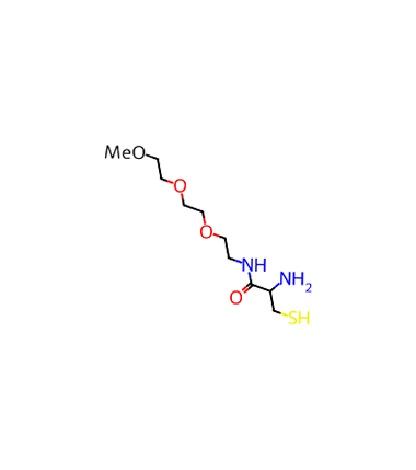 COCCOCCOCCNC(=O)C(N)CS